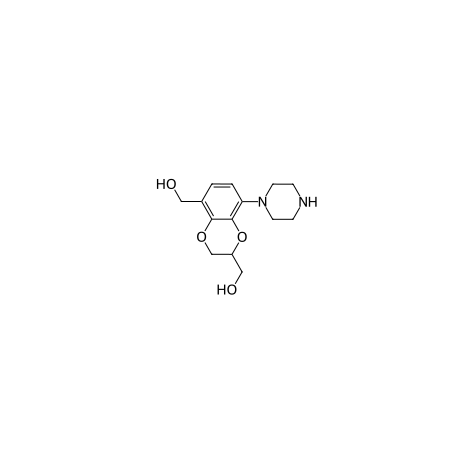 OCc1ccc(N2CCNCC2)c2c1OCC(CO)O2